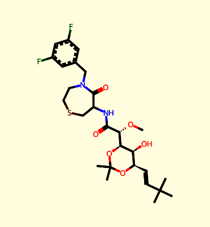 CO[C@@H](C(=O)NC1CSCCN(Cc2cc(F)cc(F)c2)C1=O)[C@@H]1OC(C)(C)O[C@H](/C=C/C(C)(C)C)[C@@H]1O